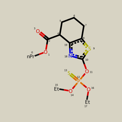 CCCOC(=O)C1CCCc2sc(OP(=S)(OCC)OCC)nc21